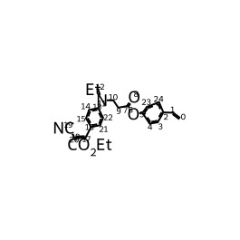 C=Cc1ccc(OC(=O)CCN(CC)c2ccc(/C=C(\C#N)C(=O)OCC)cc2)cc1